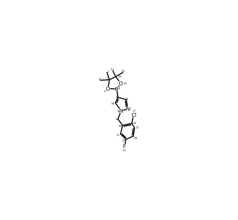 CC1(C)OB(c2cnn(Cc3cc(F)ccc3Cl)c2)OC1(C)C